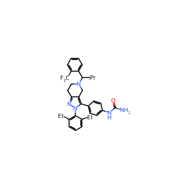 CCc1cccc(CC)c1-n1nc2c(c1-c1ccc(NC(N)=O)cc1)CN(C(c1ccccc1C(F)(F)F)C(C)C)CC2